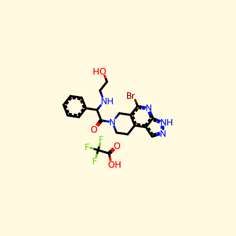 O=C(C(NCCO)c1ccccc1)N1CCc2c(c(Br)nc3[nH]ncc23)C1.O=C(O)C(F)(F)F